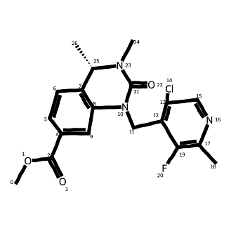 COC(=O)c1ccc2c(c1)N(Cc1c(Cl)cnc(C)c1F)C(=O)N(C)[C@H]2C